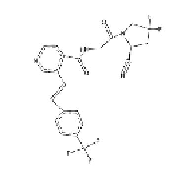 N#C[C@@H]1CC(F)(F)CN1C(=O)CNC(=O)c1ccncc1/C=C/c1ccc(C(F)(F)F)cc1